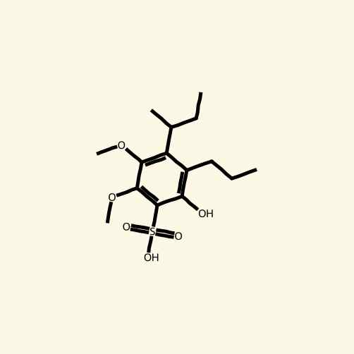 CCCc1c(O)c(S(=O)(=O)O)c(OC)c(OC)c1C(C)CC